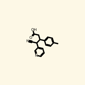 Cc1ccc(C(CC(=O)O)C(C#N)c2cccnc2)cc1